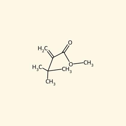 C=C(C(=O)OC)C(C)(C)C